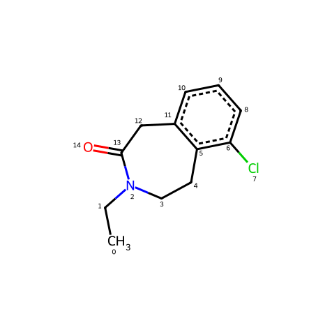 CCN1CCc2c(Cl)cccc2CC1=O